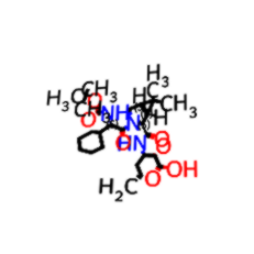 C=CCC(NC(=O)[C@@H]1[C@@H]2[C@H](CN1C(=O)[C@@H](NC(=O)OC(C)(C)C)C1CCCCC1)C2(C)C)C(=O)C(=O)O